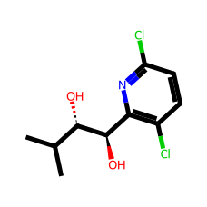 CC(C)[C@H](O)[C@H](O)c1nc(Cl)ccc1Cl